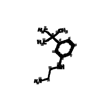 CC(C)(C)c1cccc(NCCN)c1